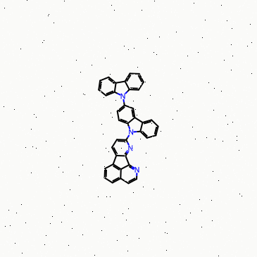 c1cc2c3c(nccc3c1)-c1nc(-n3c4ccccc4c4cc(-n5c6ccccc6c6ccccc65)ccc43)ccc1-2